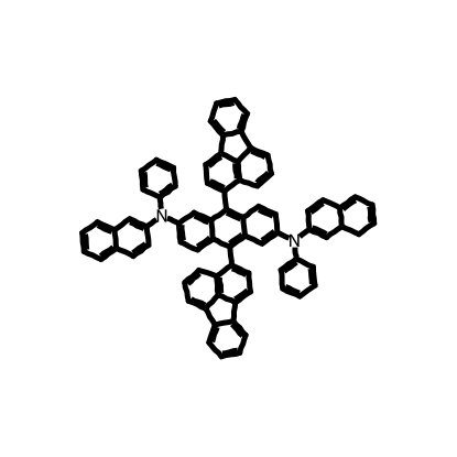 C1=CCC2C=C(N(c3ccccc3)c3ccc4c(-c5ccc6c7c(cccc57)-c5ccccc5-6)c5cc(N(c6ccccc6)c6ccc7ccccc7c6)ccc5c(-c5ccc6c7c(cccc57)-c5ccccc5-6)c4c3)C=CC2=C1